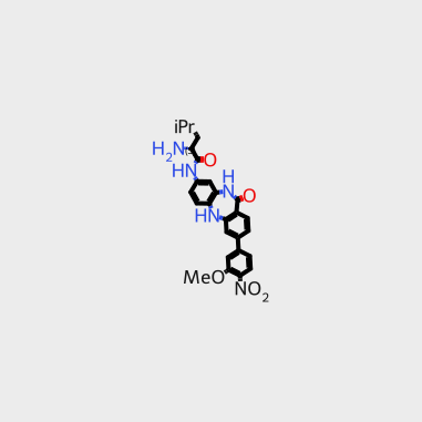 COc1cc(-c2ccc3c(c2)Nc2ccc(NC(=O)[C@@H](N)CC(C)C)cc2NC3=O)ccc1[N+](=O)[O-]